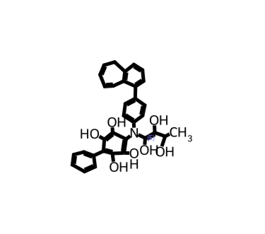 CC(O)/C(O)=C(\O)N(c1ccc(-c2cccc3c2C=CC=CC3)cc1)c1c(O)c(O)c(-c2ccccc2)c(O)c1O